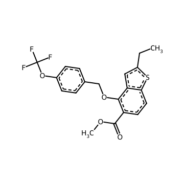 CCc1cc2c(OCc3ccc(OC(F)(F)F)cc3)c(C(=O)OC)ccc2s1